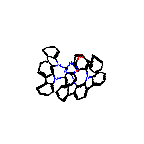 c1ccc(Oc2nc(-n3c4ccccc4c4ccc5c6ccccc6n(-c6ccccc6)c5c43)nc(-n3c4ccccc4c4ccc5c6ccccc6n(-c6ccccc6)c5c43)n2)cc1